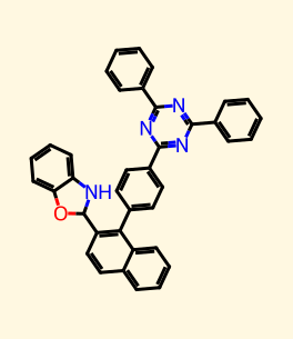 c1ccc(-c2nc(-c3ccccc3)nc(-c3ccc(-c4c(C5Nc6ccccc6O5)ccc5ccccc45)cc3)n2)cc1